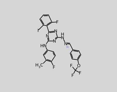 Cc1cc(Nc2nc(N/N=C/c3ccc(OC(F)(F)F)cc3)nc(-c3c(F)cccc3I)n2)ccc1F